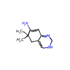 CC1(C)CC2=CNCN=C2C=C1N